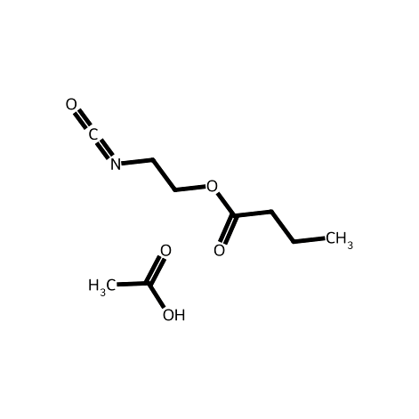 CC(=O)O.CCCC(=O)OCCN=C=O